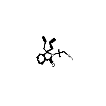 C=CCC1(CC=C)c2ccccc2C(=O)N1C(C)(C)CN